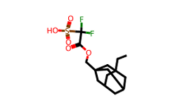 CCC12CC3CC(C1)CC(COC(=O)C(F)(F)S(=O)(=O)O)(C3)C2